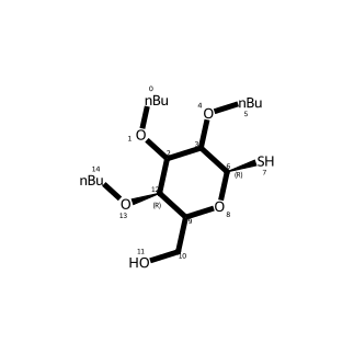 CCCCOC1C(OCCCC)[C@@H](S)OC(CO)[C@H]1OCCCC